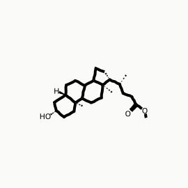 COC(=O)CC[C@@H](C)[C@H]1CCC2C3CC[C@H]4C[C@@H](O)CC[C@]4(C)C3CC[C@@]21C